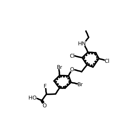 CCNc1cc(Cl)cc(COc2c(Br)cc(CC(F)C(=O)O)cc2Br)c1Cl